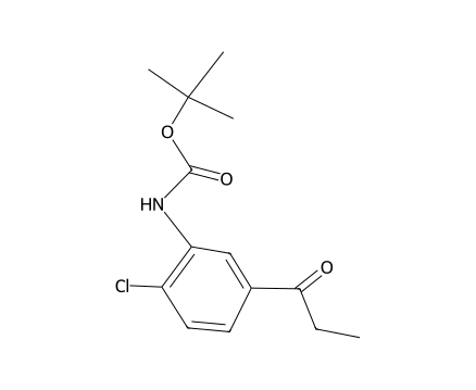 CCC(=O)c1ccc(Cl)c(NC(=O)OC(C)(C)C)c1